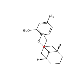 CC(C)COc1cc(C(F)(F)F)ccc1O[C@H]1C[C@H]2CCC[C@@H](C1)N2CCC#N